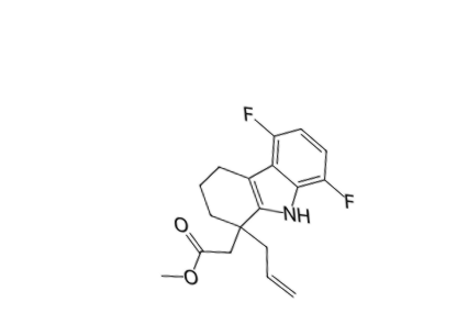 C=CCC1(CC(=O)OC)CCCc2c1[nH]c1c(F)ccc(F)c21